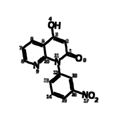 O=c1cc(O)c2cccnc2n1-c1cccc([N+](=O)[O-])c1